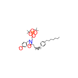 CCCCCCCc1ccc([C@@H]2C[C@H]2CCC(=O)N(CCOP(=O)(OC(C)(C)C)OC(C)(C)C)Cc2ccc(OC)cc2)cc1